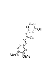 COc1ccc(/C=C/C(=O)CC2CC(O)CCO2)cc1OC